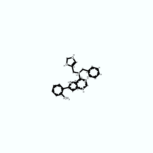 Cc1ccccc1-c1cc2ncnc(N(CC3=COCO3)Cc3ccccc3)c2s1